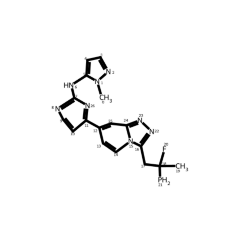 Cn1nccc1Nc1nccc(-c2ccn3c(CC(C)(F)P)nnc3c2)n1